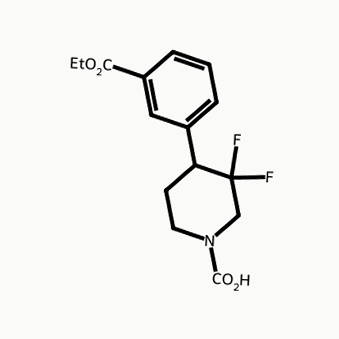 CCOC(=O)c1cccc(C2CCN(C(=O)O)CC2(F)F)c1